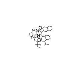 CCC(C)(CC)C1CC(C(C)(CC)CC)OC2(O1)C1CC(C(C)C)C3CCCCC3C1C1C3C(NCN12)OC1CC2CCCCC2CC13